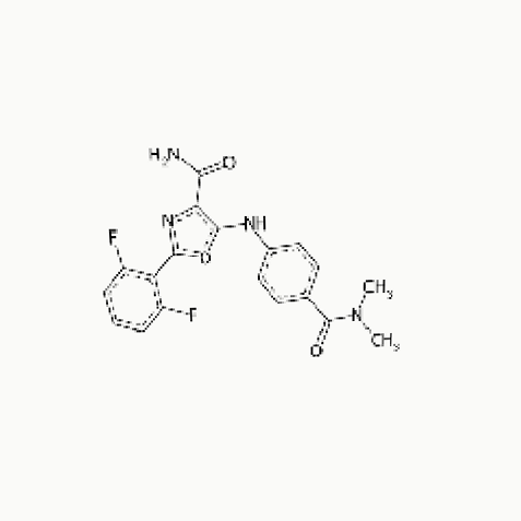 CN(C)C(=O)c1ccc(Nc2oc(-c3c(F)cccc3F)nc2C(N)=O)cc1